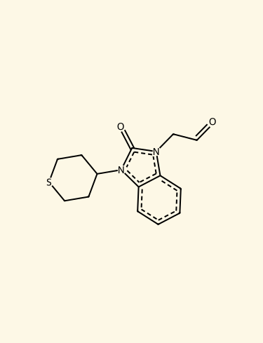 O=CCn1c(=O)n(C2CCSCC2)c2ccccc21